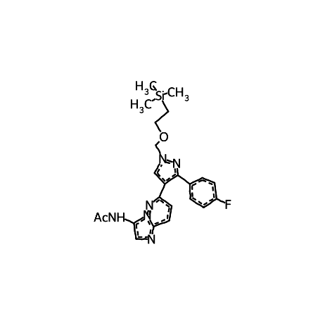 CC(=O)Nc1cnc2ccc(-c3cn(COCC[Si](C)(C)C)nc3-c3ccc(F)cc3)nn12